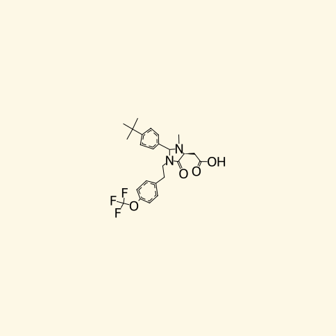 CN1C(c2ccc(C(C)(C)C)cc2)N(CCc2ccc(OC(F)(F)F)cc2)C(=O)[C@@H]1CC(=O)O